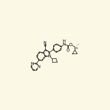 C[C@@H](OC(=O)Nc1ccc(-c2c(C#N)c3ccc(-c4ncccn4)cc3n2C2CCC2)cc1)C1CC1